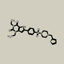 CCn1c(=O)c2[nH]c(-c3ccc(S(=O)(=O)N4CCN(Cc5cccs5)CC4)cc3)cc2n(CC)c1=O